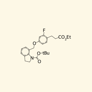 CCOC(=O)CCc1ccc(OCc2cccc3c2N(C(=O)OC(C)(C)C)CC3)cc1F